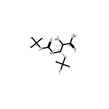 CC(C)(F)C[C@H](NC(=O)OC(C)(C)C)C(O)C(=O)O